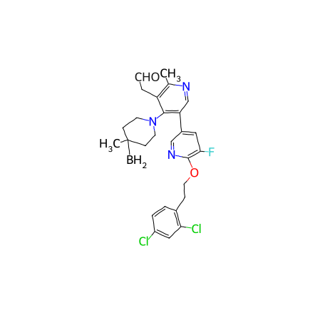 BC1(C)CCN(c2c(-c3cnc(OCCc4ccc(Cl)cc4Cl)c(F)c3)cnc(C)c2CC=O)CC1